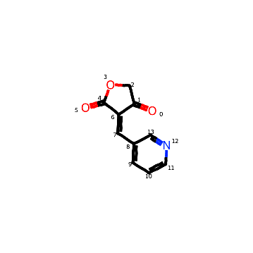 O=C1COC(=O)C1=Cc1cccnc1